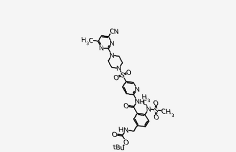 Cc1cc(C#N)nc(N2CCN(S(=O)(=O)c3ccc(NC(=O)c4cc(CNC(=O)OC(C)(C)C)ccc4N(C)S(C)(=O)=O)nc3)CC2)n1